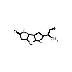 CC(CF)C1CC2C(O1)OC1CC(=O)OC12